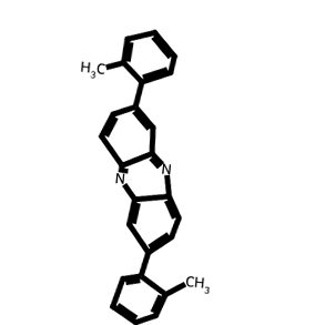 Cc1ccccc1-c1ccc2nc3cc(-c4ccccc4C)ccc3nc2c1